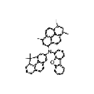 Cc1cc(I)c2ccc3c(C)cc(N(c4cc5c6c(ccc7cccc(c76)C5(C)C)c4)c4cccc5c4oc4ccccc45)c4ccc1c2c34